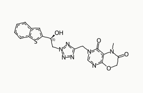 CN1C(=O)COc2ncn(Cc3nnn(C[C@H](O)c4cc5ccccc5s4)n3)c(=O)c21